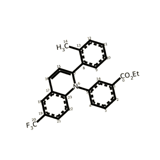 CCOC(=O)c1cccc(N2C(c3ccccc3C)=C=Cc3cc(C(F)(F)F)ccc32)c1